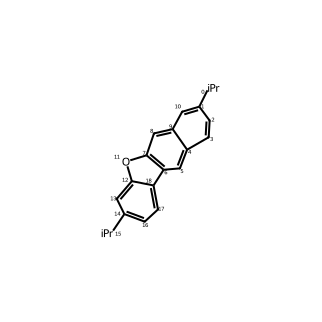 CC(C)c1ccc2cc3c(cc2c1)oc1cc(C(C)C)ccc13